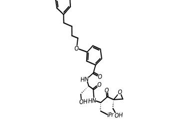 CC(C)C[C@H](NC(=O)[C@H](CO)NC(=O)c1cccc(OCCCCc2ccccc2)c1)C(=O)[C@]1(CO)CO1